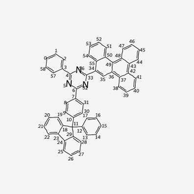 c1ccc(-c2nc(-c3ccc(C4(c5ccccc5)c5ccccc5-c5ccccc54)cc3)nc(-c3cc4c5ccccc5c5ccccc5c4c4ccccc34)n2)cc1